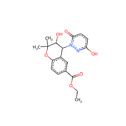 CCOC(=O)c1ccc2c(c1)C(n1nc(O)ccc1=O)C(O)C(C)(C)O2